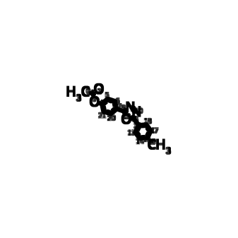 CC(=O)Oc1ccc(-c2nnc(-c3ccc(C)cc3)o2)cc1